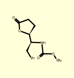 CC(C)C[C@H](NC(=O)OC(C)(C)C)[C@@H]1CCC(=O)O1